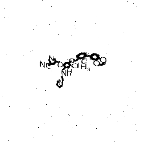 Cc1c(COc2cc(OCc3cncc(C#N)c3)c(CNCCN3CCCC3)cc2Cl)cccc1-c1ccc2c(c1)OCCO2